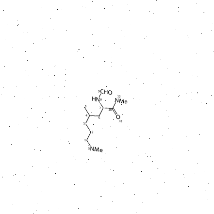 CNCCCC(C)CC(NC=O)C(=O)NC